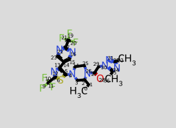 CCC1CN(c2sc(C(F)(F)F)nc2-c2cnc(C(F)(F)F)nc2)CCN1C(=O)Cn1nc(C)nc1C